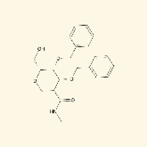 CNC(=O)C1CO[C@H](CO)[C@H](OCc2ccccc2)[C@@H]1OCc1ccccc1